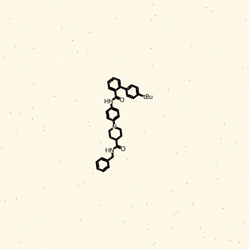 CC(C)(C)c1ccc(-c2ccccc2C(=O)Nc2ccc(N3CCC(C(=O)NCc4ccccc4)CC3)cc2)cc1